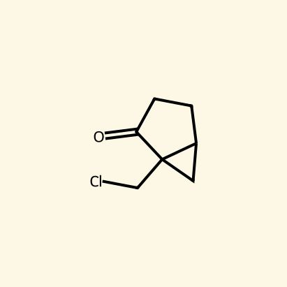 O=C1CCC2CC12CCl